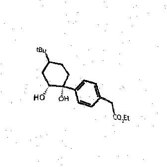 CCOC(=O)Cc1ccc([C@]2(O)CCC(C(C)(C)C)C[C@H]2O)cc1